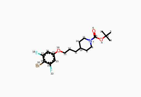 CC(C)(C)OC(=O)N1CCC(CCCOc2cc(F)c(Br)c(F)c2)CC1